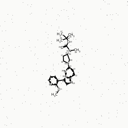 COc1ncccc1-c1cnc2ccc(N3CC[C@H](N(C)C(=O)OC(C)(C)C)C3)nn12